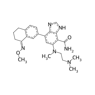 CON=C1CCCc2ccc(-c3cc(N(C)CCN(C)C)c(C(N)=O)c4[nH]cnc34)cc21